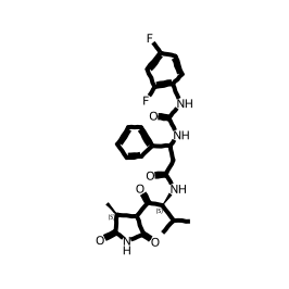 CC(C)[C@H](NC(=O)CC(NC(=O)Nc1ccc(F)cc1F)c1ccccc1)C(=O)C1C(=O)NC(=O)[C@H]1C